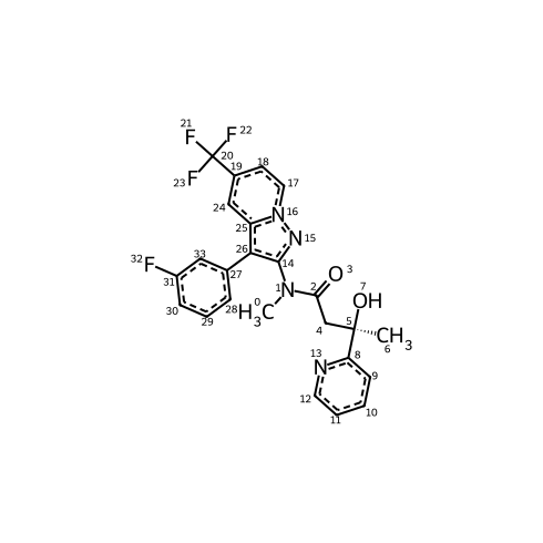 CN(C(=O)C[C@@](C)(O)c1ccccn1)c1nn2ccc(C(F)(F)F)cc2c1-c1cccc(F)c1